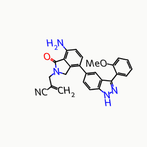 C=C(C#N)CN1Cc2c(-c3ccc4[nH]nc(-c5ccccc5OC)c4c3)ccc(N)c2C1=O